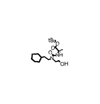 C[C@@H](NC(=O)N(CCO)CCC1CCCCC1)C(=O)OC(C)(C)C